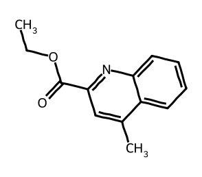 CCOC(=O)c1cc(C)c2ccccc2n1